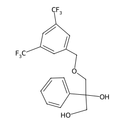 OCC(O)(COCc1cc(C(F)(F)F)cc(C(F)(F)F)c1)c1ccccc1